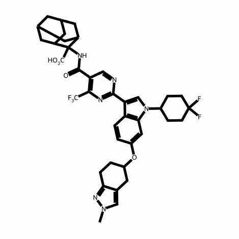 Cn1cc2c(n1)CCC(Oc1ccc3c(-c4ncc(C(=O)NC5(C(=O)O)C6CC7CC(C6)CC5C7)c(C(F)(F)F)n4)cn(C4CCC(F)(F)CC4)c3c1)C2